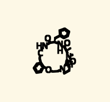 C[C@@H]1C(=O)N[C@H](Cc2ccccc2)C(=O)NCCCc2ccccc2OCCN2CCC[C@H]2C(=O)N1C